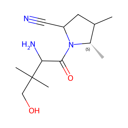 CC1CC(C#N)N(C(=O)C(N)C(C)(C)CO)[C@H]1C